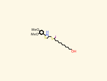 COc1ccc(C2NC(CSC(I)CCCCCCCCCCO)CS2)cc1OC